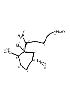 CCCCCCCCCCCC(N)C1(CC)CCCCC1CC.Cl